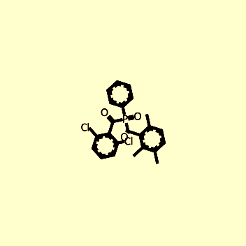 Cc1ccc(C)c(C(=O)P(=O)(C(=O)c2c(Cl)cccc2Cl)c2ccccc2)c1C